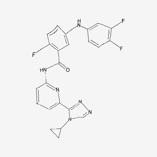 O=C(Nc1cccc(-c2nncn2C2CC2)n1)c1cc(Nc2ccc(F)c(F)c2)ccc1F